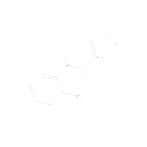 O=c1[nH]n(-c2ccco2)c(=O)c2ccccc12